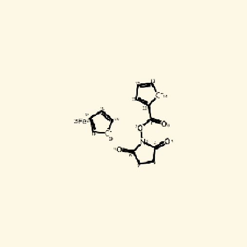 O=C(ON1C(=O)CCC1=O)c1ccc[cH-]1.[Fe+2].c1cc[cH-]c1